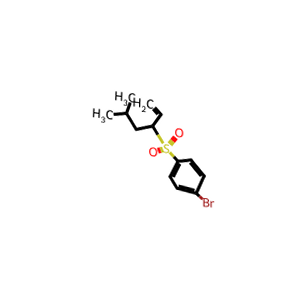 C=CC(CC(C)C)S(=O)(=O)c1ccc(Br)cc1